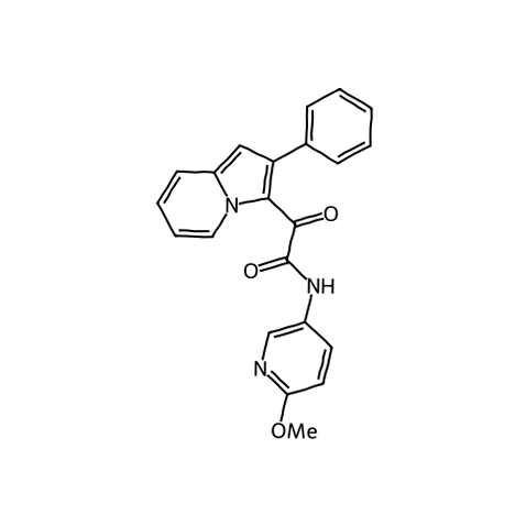 COc1ccc(NC(=O)C(=O)c2c(-c3ccccc3)cc3ccccn23)cn1